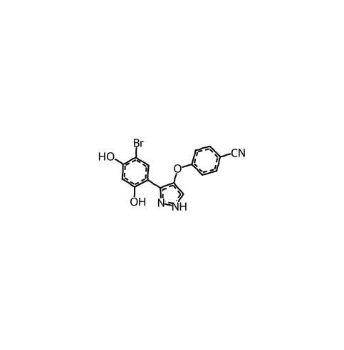 N#Cc1ccc(Oc2c[nH]nc2-c2cc(Br)c(O)cc2O)cc1